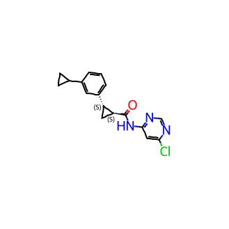 O=C(Nc1cc(Cl)ncn1)[C@H]1C[C@@H]1c1cccc(C2CC2)c1